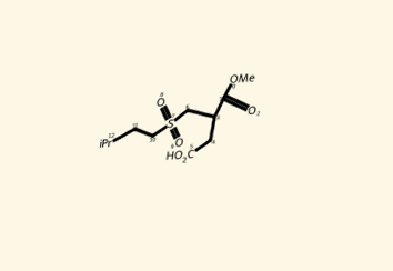 COC(=O)C(CC(=O)O)CS(=O)(=O)CCC(C)C